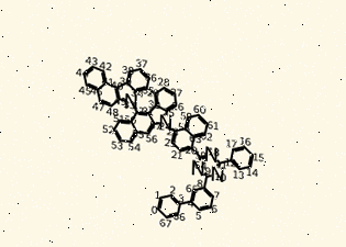 c1ccc(-c2cccc(-c3nc(-c4ccccc4)nc(-c4ccc(-n5c6ccccc6c6c(-n7c8ccccc8c8c9ccccc9ccc87)c7ccccc7cc65)c5ccccc45)n3)c2)cc1